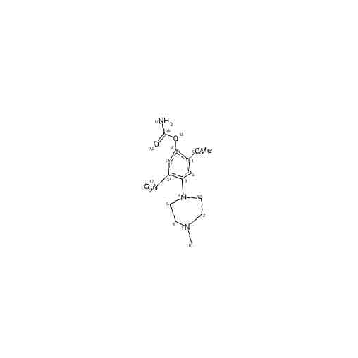 COc1cc(N2CCN(C)CC2)c([N+](=O)[O-])cc1OC(N)=O